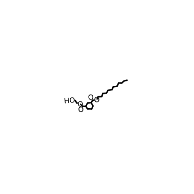 CCCCCCCCCCCCOC(=O)C1CCCC(C(=O)OCCO)C1